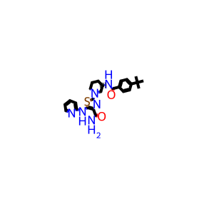 CC(C)(C)c1ccc(C(=O)N[C@@H]2CCCN(c3nc(C(N)=O)c(Nc4ccccn4)s3)C2)cc1